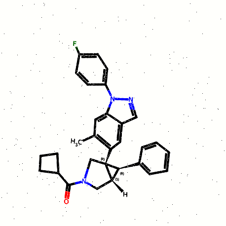 Cc1cc2c(cnn2-c2ccc(F)cc2)cc1[C@]12CN(C(=O)C3CCC3)C[C@H]1[C@@H]2c1ccccc1